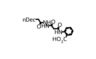 CCCCCCCCCCCC(=O)NNC(=O)CC(=O)Nc1ccccc1C(=O)O